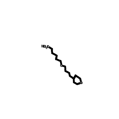 O=C(O)CCCCCOCCCCC1CCOCC1